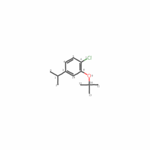 CC(C)c1ccc(Cl)c(OC(C)(C)C)c1